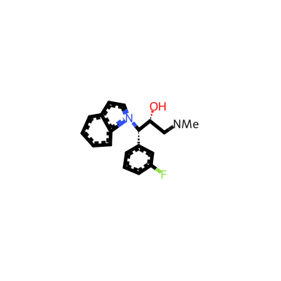 CNC[C@@H](O)[C@H](c1cccc(F)c1)n1ccc2ccccc21